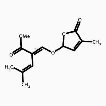 COC(=O)/C(C=C(C)C)=C/OC1C=C(C)C(=O)O1